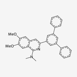 COc1cc2cc(-c3cc(-c4ccccc4)cc(-c4ccccc4)c3)nc(N(C)C)c2cc1OC